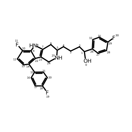 OC(CCCC1Cc2[nH]c3c(F)ccc(-c4ccc(F)cc4)c3c2CN1)c1ccc(F)cc1